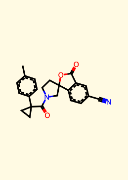 Cc1ccc(C2(C(=O)N3CCC4(C3)OC(=O)c3cc(C#N)ccc34)CC2)cc1